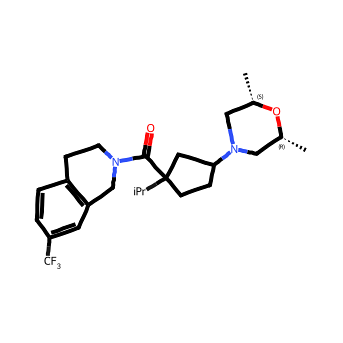 CC(C)C1(C(=O)N2CCc3ccc(C(F)(F)F)cc3C2)CCC(N2C[C@@H](C)O[C@@H](C)C2)C1